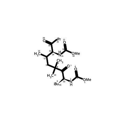 CC[C@H](C)[C@H](NC(=O)OC)C(=O)C(C)(C)CC(C)[C@H](NC(=O)OC)C(=O)C(C)C